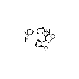 COc1ccccc1C1CCOc2nc3ccc(-c4ccnc(F)c4)cn3c21